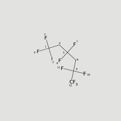 FC(F)(I)CC(F)(F)CC(F)(F)C(F)(F)F